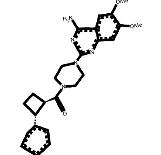 COc1cc2nc(N3CCN(C(=O)[C@@H]4CC[C@H]4c4ccccc4)CC3)nc(N)c2cc1OC